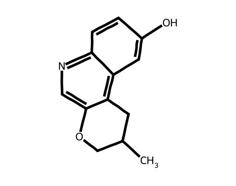 CC1COc2cnc3ccc(O)cc3c2C1